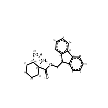 N[C@]1(C(=O)OCC2c3ccccc3-c3ccccc32)CCCC[C@@H]1C(=O)O